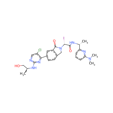 C[C@@H](CO)Nc1ncc(Cl)c(-c2ccc3c(c2)C(=O)N([C@H](I)C(=O)N[C@H](C)c2cccc(N(C)C)n2)C3)n1